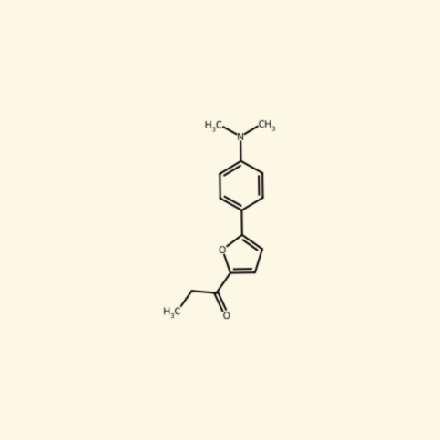 CCC(=O)c1ccc(-c2ccc(N(C)C)cc2)o1